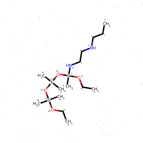 CCCNCCN[Si](C)(OCC)O[Si](C)(C)O[Si](C)(C)OCC